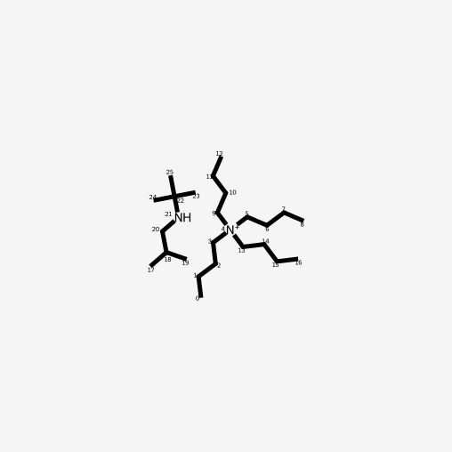 CCCC[N+](CCCC)(CCCC)CCCC.C[C](C)CNC(C)(C)C